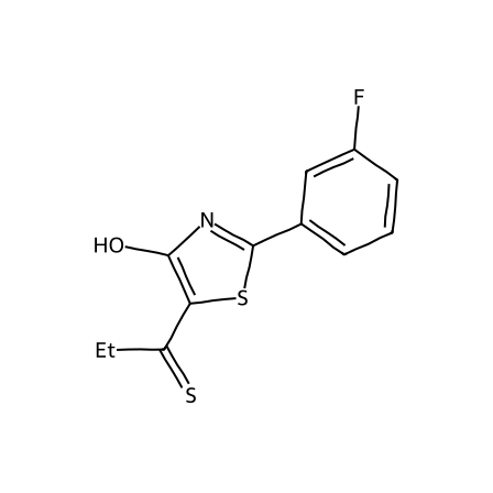 CCC(=S)c1sc(-c2cccc(F)c2)nc1O